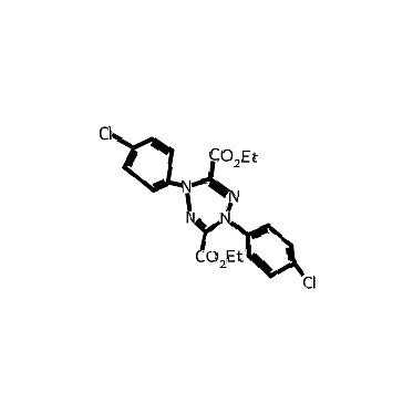 CCOC(=O)C1=NN(c2ccc(Cl)cc2)C(C(=O)OCC)=NN1c1ccc(Cl)cc1